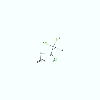 CCCCC(Cl)C(F)(F)F